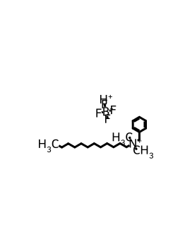 CCCCCCCCCCCC[N+](C)(C)Cc1ccccc1.F[B-](F)(F)F.[H+]